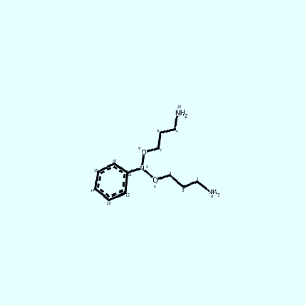 NCCCON(OCCCN)c1ccccc1